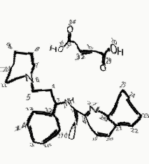 O=C(NC(CCN1CCCCC1)c1ccccc1)c1ccc2ccccc2n1.O=C(O)C=CC(=O)O